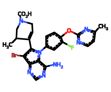 Cc1ccnc(Oc2ccc(-n3c(C4=CCN(C(=O)O)CC4C)c(Br)c4ncnc(N)c43)cc2F)n1